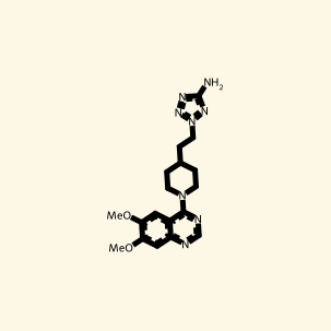 COc1cc2ncnc(N3CCC(CCn4nnc(N)n4)CC3)c2cc1OC